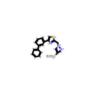 CCOC(=O)c1cnn(Cc2nc(-c3cccc(-c4ccccc4)c3)cs2)c1